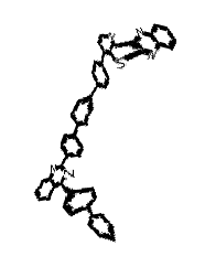 c1ccc(-c2ccc(-c3nc(-c4ccc(-c5ccc(-c6ccc(-c7ccnc8c7sc7nc9ccccc9nc78)cc6)cc5)cc4)nc4ccccc34)cc2)cc1